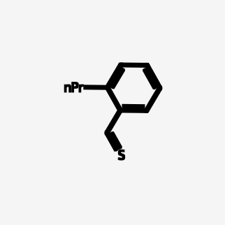 CCCc1ccccc1C=S